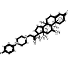 C[C@]12CCC(=O)C=C1CC[C@@H]1[C@@H]2C(O)C[C@@]2(C)[C@H]1CC[C@]2(O)C(=O)CN1CCN(c2ccc(F)cc2)CC1